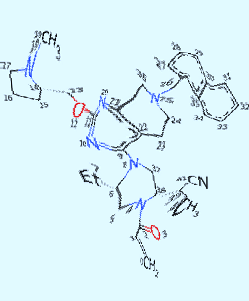 C=CC(=O)N1C[C@H](CC)N(c2nc(OC[C@@H]3CCCN3C)nc3c2CCN(c2cccc4ccccc24)C3)C[C@@H]1C(C)C#N